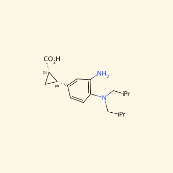 CC(C)CN(CC(C)C)c1ccc([C@@H]2C[C@@H]2C(=O)O)cc1N